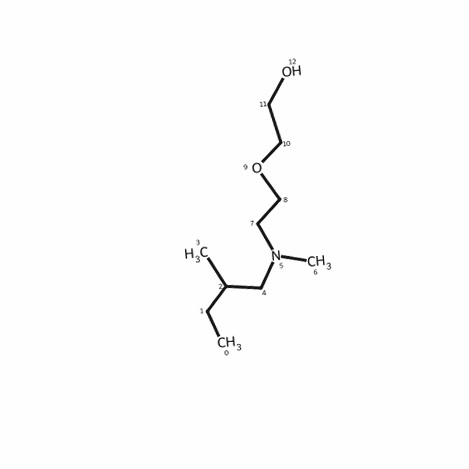 CCC(C)CN(C)CCOCCO